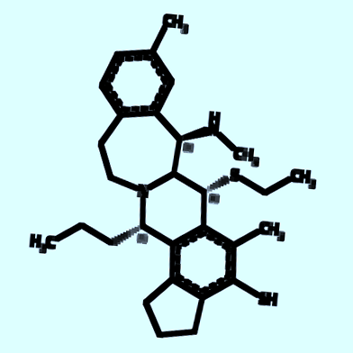 CCC[C@H]1c2c3c(c(S)c(C)c2[C@@H](SCC)C2[C@H](NC)c4cc(C)ccc4CCN21)CCC3